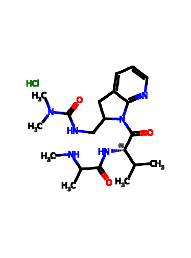 CNC(C)C(=O)N[C@H](C(=O)N1c2ncccc2CC1CNC(=O)N(C)C)C(C)C.Cl